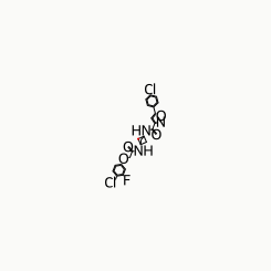 O=C(COc1ccc(Cl)c(F)c1)NC12CC(NC(=O)c3cc(-c4ccc(Cl)cc4)on3)(C1)C2